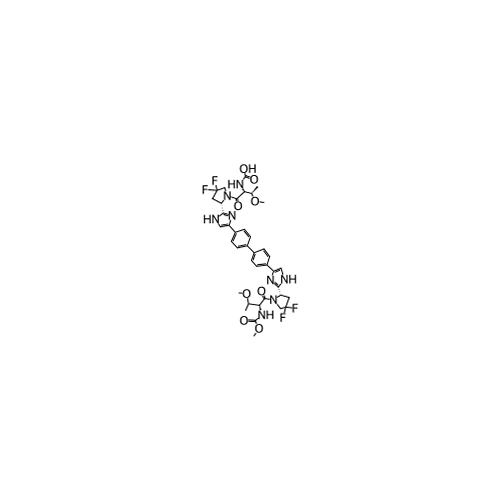 COC(=O)N[C@H](C(=O)N1CC(F)(F)C[C@H]1c1nc(-c2ccc(-c3ccc(-c4c[nH]c([C@@H]5CC(F)(F)CN5C(=O)[C@@H](NC(=O)O)[C@@H](C)OC)n4)cc3)cc2)c[nH]1)C(C)OC